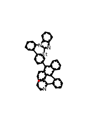 CCc1nc2ccccc2n1-c1ccccc1-c1ccc(-c2c3ccccc3c(-c3ccccc3-c3ccccn3)c3ccccc23)cc1